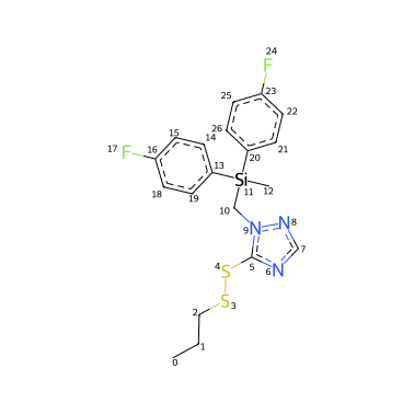 CCCSSc1ncnn1C[Si](C)(c1ccc(F)cc1)c1ccc(F)cc1